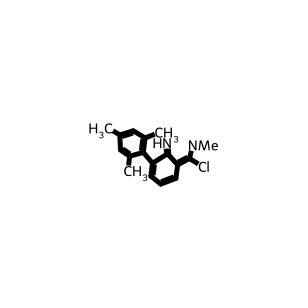 CN/C(Cl)=C1/C=CC=C(c2c(C)cc(C)cc2C)C1=N